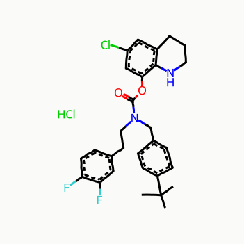 CC(C)(C)c1ccc(CN(CCc2ccc(F)c(F)c2)C(=O)Oc2cc(Cl)cc3c2NCCC3)cc1.Cl